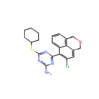 Nc1nc(SC2CCCCC2)nc(-c2c(Cl)cc3c4c(cccc24)COC3)n1